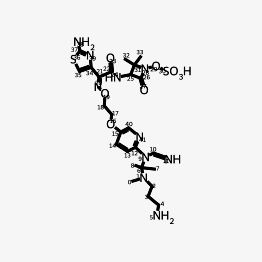 CN(CCCN)C(C)(C)N(C=N)c1ccc(OCCO/N=C(\C(=O)NC2C(=O)N(OS(=O)(=O)O)C2(C)C)c2csc(N)n2)cn1